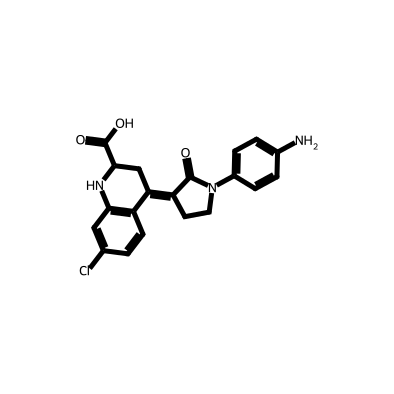 Nc1ccc(N2CCC(=C3CC(C(=O)O)Nc4cc(Cl)ccc43)C2=O)cc1